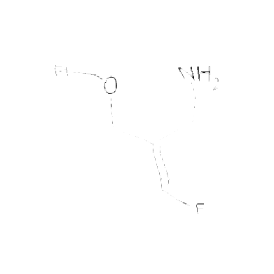 CCOC/C(=C/F)CN